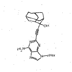 CCCCCCn1cnc2c(N)nc(C#CC3(O)C4CC5CC(C4)CC3C5)nc21